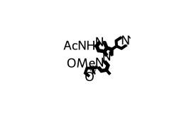 CO[C@@]1(c2cc(C)cc(-n3cc(C4CCN(C)CC4)c4cnc(NC(C)=O)cc43)n2)CCOC1